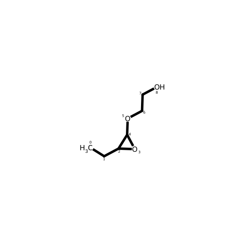 CCC1OC1OCCO